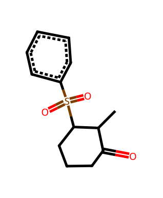 CC1C(=O)CCCC1S(=O)(=O)c1ccccc1